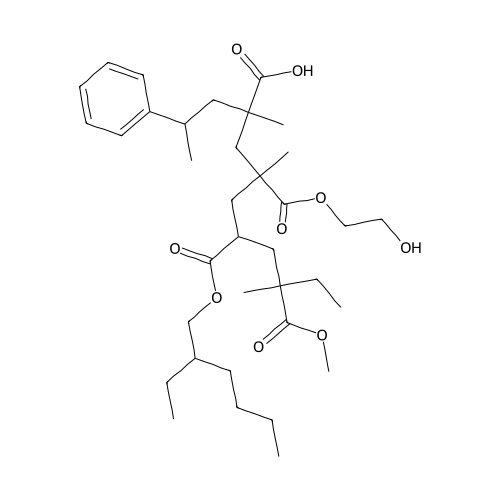 CCCCC(CC)COC(=O)C(CC(C)(CC)C(=O)OC)CC(C)(CC(C)(CC(C)c1ccccc1)C(=O)O)C(=O)OCCO